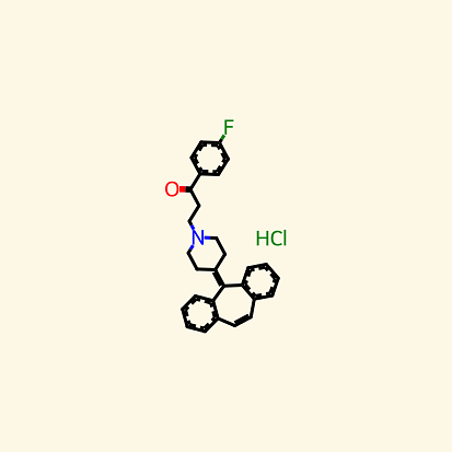 Cl.O=C(CCN1CCC(=C2c3ccccc3C=Cc3ccccc32)CC1)c1ccc(F)cc1